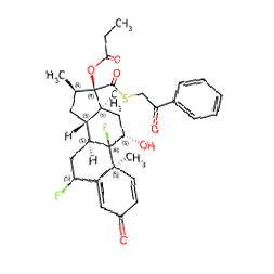 CCC(=O)O[C@]1(C(=O)SCC(=O)c2ccccc2)[C@H](C)C[C@H]2[C@@H]3C[C@H](F)C4=CC(=O)C=C[C@]4(C)[C@@]3(F)[C@@H](O)C[C@@]21C